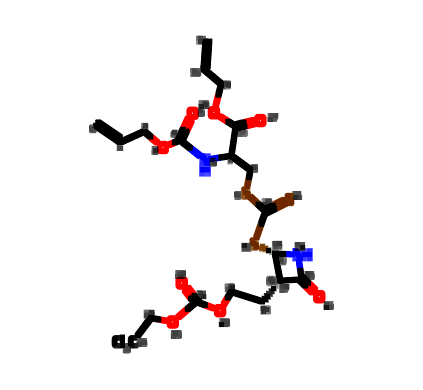 C=CCOC(=O)NC(CSC(=S)S[C@@H]1NC(=O)[C@@H]1CCOC(=O)OCC(Cl)(Cl)Cl)C(=O)OCC=C